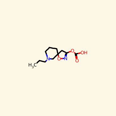 CCCN1CCCC2(CC(OC(=O)O)=NO2)C1